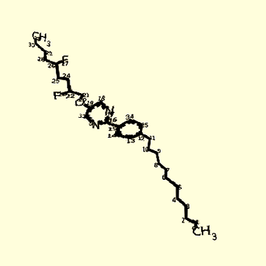 CCCCCCCCCCCCc1ccc(-c2ncc(OCC(F)CCC(F)CCCC)cn2)cc1